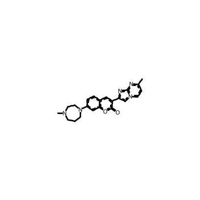 Cc1ccn2cc(-c3cc4ccc(N5CCCN(C)CC5)cc4oc3=O)nc2n1